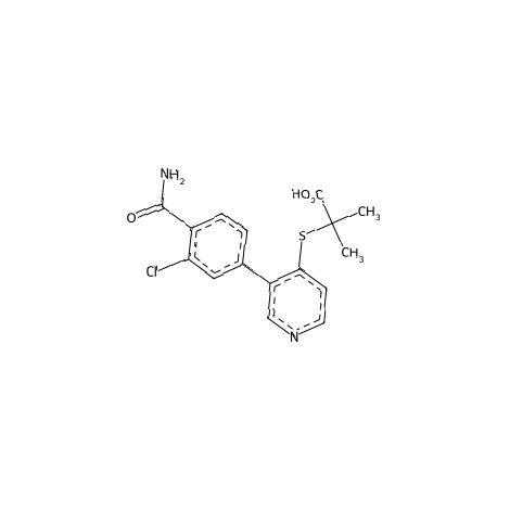 CC(C)(Sc1ccncc1-c1ccc(C(N)=O)c(Cl)c1)C(=O)O